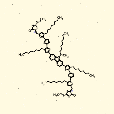 CCCCCCCCc1cc(/C=C2\SC(SCC)=NC2=O)sc1-c1ccc(-c2sc(-c3ccc4c5ccc(-c6cc(CCCCCCCC)c(-c7ccc(-c8sc(/C=C9\SC(SCC)=NC9=O)cc8CCCCCCCC)s7)s6)cc5n(C(C)CCCCCCCC)c4c3)cc2CCCCCCCC)s1